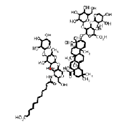 CC1O[C@@H](OC2C(O)[C@@H](NC(=O)CCCCCCCCCCC(=O)O)C(CO)O[C@H]2SC(=O)[C@]23CCC(C)(C)CC2C2=CCC4C5(C)CC[C@H](O[C@@H]6OC(C(=O)O)[C@@H](O)[C@H](O[C@@H]7OC[C@@H](O)[C@@H](O)C7O)C6O[C@@H]6OC(CO)[C@H](O)[C@H](O)C6O)[C@](C)(C=O)[C@@H]5CCC4(C)[C@]2(C)CC3O)C(O)C(O)[C@H]1O[C@@H]1OC[C@@H](O)C(O)C1O